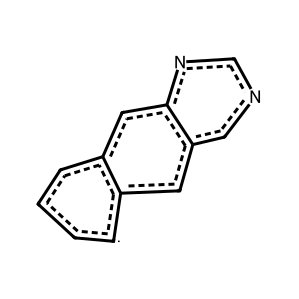 [c]1cccc2cc3ncncc3cc12